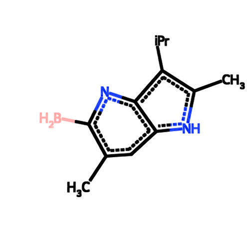 Bc1nc2c(C(C)C)c(C)[nH]c2cc1C